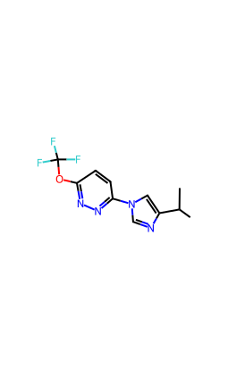 CC(C)c1cn(-c2ccc(OC(F)(F)F)nn2)cn1